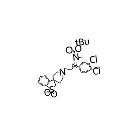 CN(C[C@@H](CCN1CCC2(CC1)CS(=O)(=O)c1ccccc12)c1ccc(Cl)c(Cl)c1)C(=O)OC(C)(C)C